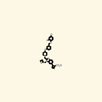 O=C(O)C1C#CC1c1ccc2nc(CN3CCC(Oc4cccc(COc5ccc(Cl)cc5F)c4)CC3)n(C[C@@H]3CCO3)c2c1